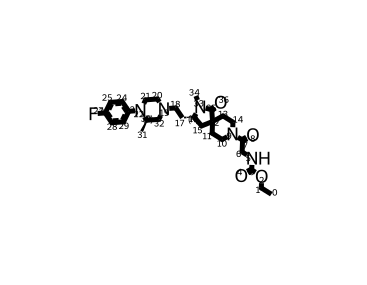 CCOC(=O)NCC(=O)N1CCC2(CC1)C[C@H](CCN1CCN(c3ccc(F)cc3)[C@H](C)C1)N(C)C2=O